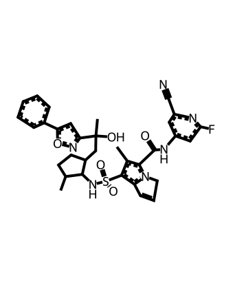 Cc1c(S(=O)(=O)NC2C(C)CCC2CC(C)(O)c2cc(-c3ccccc3)on2)c2n(c1C(=O)Nc1cc(F)nc(C#N)c1)CC=C2